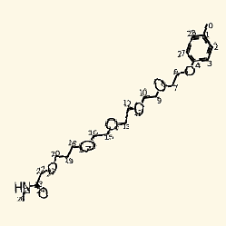 Cc1ccc(OCCOCCOCCOCCOCCCOCC(=O)NI)cc1